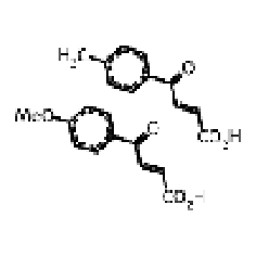 COc1ccc(C(=O)/C=C/C(=O)O)cc1.Cc1ccc(C(=O)/C=C/C(=O)O)cc1